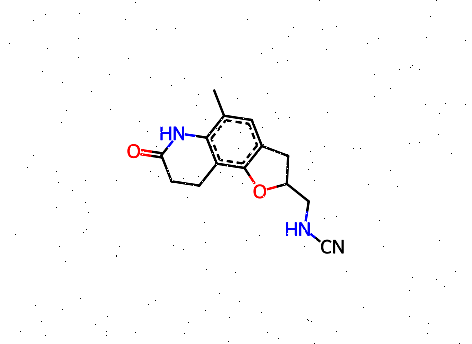 Cc1cc2c(c3c1NC(=O)CC3)OC(CNC#N)C2